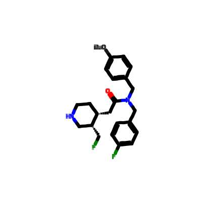 CC(C)COc1ccc(CN(Cc2ccc(F)cc2)C(=O)C[C@H]2CCNC[C@H]2CF)cc1